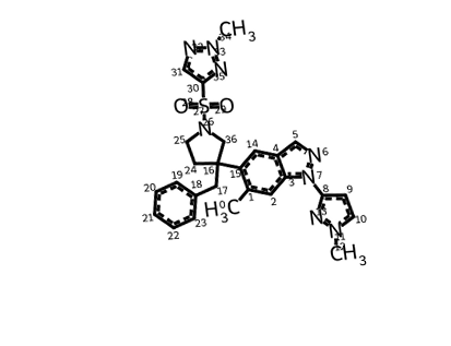 Cc1cc2c(cnn2-c2ccn(C)n2)cc1C1(Cc2ccccc2)CCN(S(=O)(=O)c2cnn(C)n2)C1